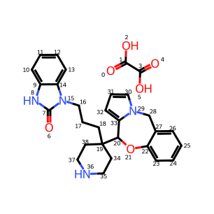 O=C(O)C(=O)O.O=c1[nH]c2ccccc2n1CCCC1(C2Oc3ccccc3Cn3cccc32)CCNCC1